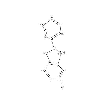 Cc1ccc2c(c1)NC(c1cccnc1)C2